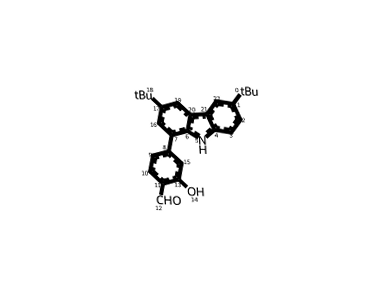 CC(C)(C)c1ccc2[nH]c3c(-c4ccc(C=O)c(O)c4)cc(C(C)(C)C)cc3c2c1